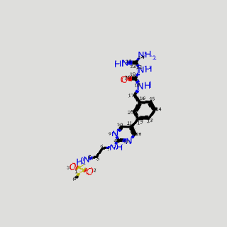 CS(=O)(=O)NCCNc1ncc(-c2cccc(CNC(=O)NC(=N)N)c2)cn1